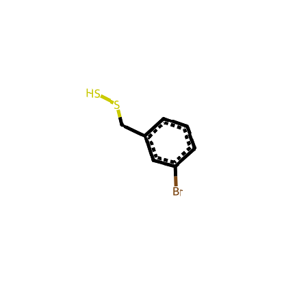 SSCc1cccc(Br)c1